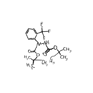 CC(C)(C)OC(=O)NN(C(=O)OC(C)(C)C)c1ccccc1C(F)(F)F